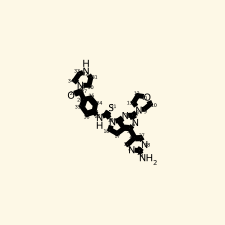 Nc1ncc(-c2nc(N3CCOCC3)nc3c2CCN3C(=S)Nc2ccc(C(=O)N3CCNCC3)cc2)cn1